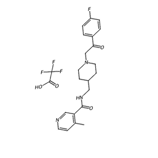 Cc1ccncc1C(=O)NCC1CCN(CC(=O)c2ccc(F)cc2)CC1.O=C(O)C(F)(F)F